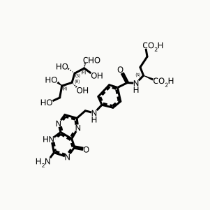 Nc1nc(=O)c2nc(CNc3ccc(C(=O)N[C@@H](CCC(=O)O)C(=O)O)cc3)cnc2[nH]1.O=C[C@H](O)[C@@H](O)[C@H](O)[C@H](O)CO